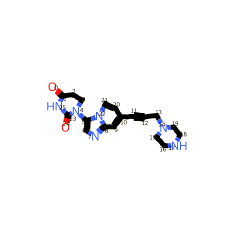 O=C1CCN(c2cnc3cc(C#CCN4CCNCC4)ccn23)C(=O)N1